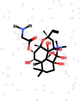 C=C[C@@]1(C)CC(=O)[C@]2(O)[C@]3(C)[C@@H]([C@H](O)[C@H](OC(=O)CN(CC)CC)[C@@]2(C)O1)C(C)(C)CC[C@@]3(O)C(O)(O)N(C)C